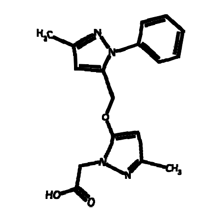 Cc1cc(OCc2cc(C)nn2-c2ccccc2)n(CC(=O)O)n1